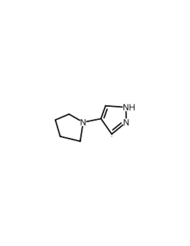 [c]1n[nH]cc1N1CCCC1